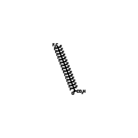 O=C(O)C(=O)C(F)(F)C(F)(F)C(F)(F)C(F)(F)C(F)(F)C(F)(F)C(F)(F)C(F)(F)C(F)(F)C(F)(F)C(F)(F)C(F)(F)C(F)(F)C(F)(F)C(F)(F)C(F)(F)F